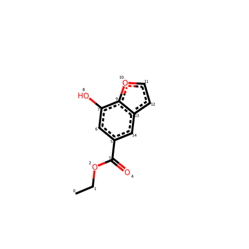 CCOC(=O)c1cc(O)c2occc2c1